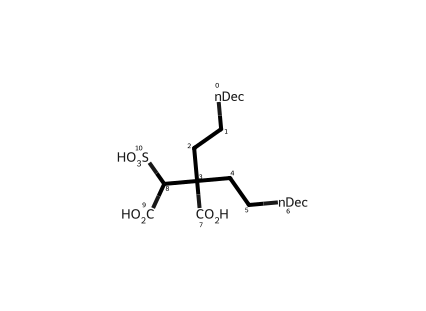 CCCCCCCCCCCCC(CCCCCCCCCCCC)(C(=O)O)C(C(=O)O)S(=O)(=O)O